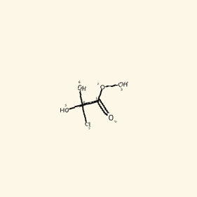 O=C(OO)C(O)(O)Cl